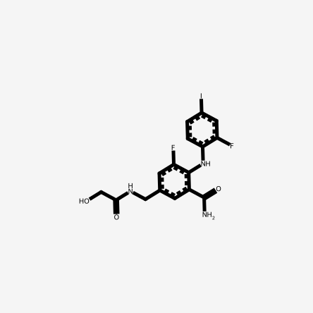 NC(=O)c1cc(CNC(=O)CO)cc(F)c1Nc1ccc(I)cc1F